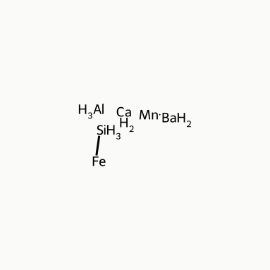 [AlH3].[BaH2].[CaH2].[Mn].[SiH3][Fe]